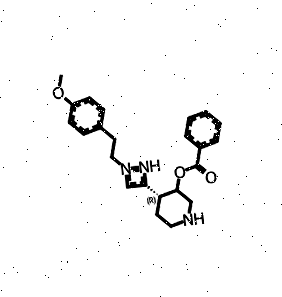 COc1ccc(CCn2cc([C@H]3CCNCC3OC(=O)c3ccccc3)[nH]2)cc1